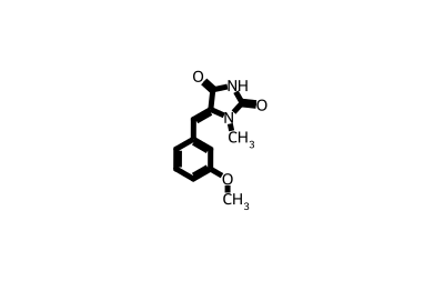 COc1cccc(/C=C2/C(=O)NC(=O)N2C)c1